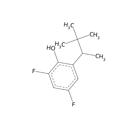 CC(c1cc(F)cc(F)c1O)C(C)(C)C